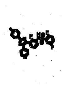 CN1CCC(c2nc(-c3cccc(NS(=O)(=O)c4cc(F)ccc4F)c3F)c(-c3ccncc3)s2)CC1